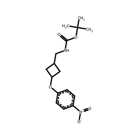 CC(C)(C)OC(=O)NCC1CC(Oc2ccc([N+](=O)[O-])cc2)C1